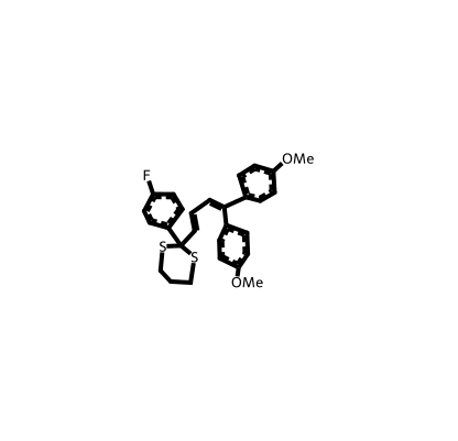 COc1ccc(C(=CC=CC2(c3ccc(F)cc3)SCCCS2)c2ccc(OC)cc2)cc1